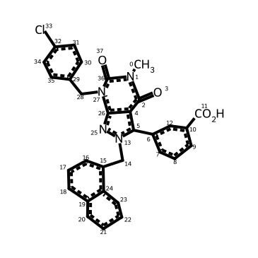 Cn1c(=O)c2c(-c3cccc(C(=O)O)c3)n(Cc3cccc4ccccc34)nc2n(Cc2ccc(Cl)cc2)c1=O